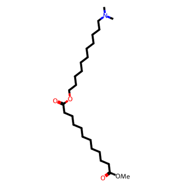 COC(=O)CCCCCCCCCCC(=O)OCCCCCCCCCCCN(C)C